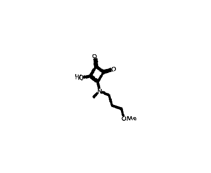 COCCCN(C)c1c(O)c(=O)c1=O